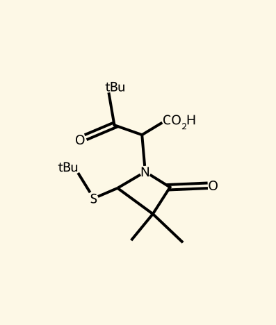 CC(C)(C)SC1N(C(C(=O)O)C(=O)C(C)(C)C)C(=O)C1(C)C